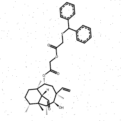 C=C[C@]1(C)C[C@@H](OC(=O)COC(=O)CSC(c2ccccc2)c2ccccc2)[C@]2(C)CC[C@@H](C)[C@@](C)([C@@H](C)[C@@H]1O)[C@H]2C=O